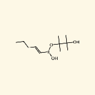 CCCC=CB(O)OC(C)(C)C(C)(C)O